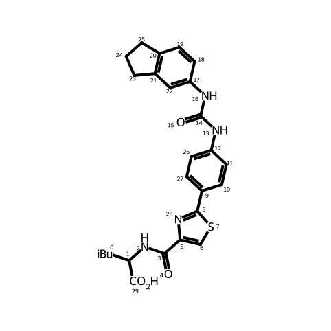 CCC(C)C(NC(=O)c1csc(-c2ccc(NC(=O)Nc3ccc4c(c3)CCC4)cc2)n1)C(=O)O